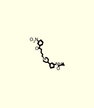 O=C(CCCCN1CCC(c2cccc(NC(=O)C3CC3)c2)CC1)c1cccc([N+](=O)[O-])c1